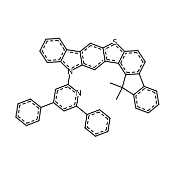 CC1(C)c2ccccc2-c2ccc3sc4cc5c6ccccc6n(-c6cc(-c7ccccc7)cc(-c7ccccc7)n6)c5cc4c3c21